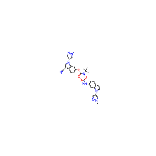 Cn1cc(-n2ccc3ccc(NC(=O)ON(C(=O)Oc4ccc5c(C#N)cn(-c6cnn(C)c6)c5c4)C(C)(C)C)cc32)cn1